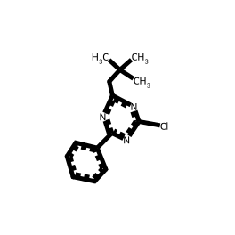 CC(C)(C)Cc1nc(Cl)nc(-c2ccccc2)n1